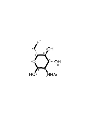 CC(=O)N[C@H]1C(O)O[C@H](CF)[C@@H](O)[C@@H]1O